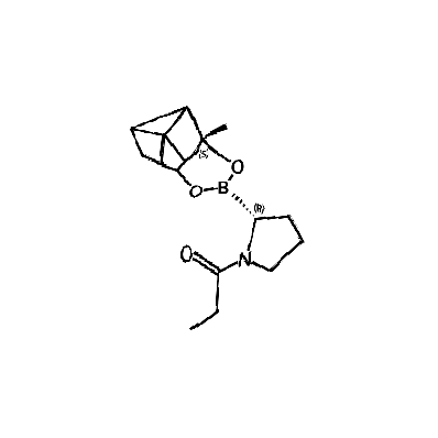 CCC(=O)N1CCC[C@H]1B1OC2CC3CC(C3(C)C)[C@]2(C)O1